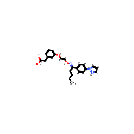 CCCC/C(=N\OCCOc1cccc(CC(=O)O)c1)c1ccc(-n2cccn2)cc1